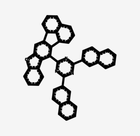 c1ccc2cc(-c3nc(-c4ccc5ccccc5c4)nc(-c4c5c(cc6oc7ccccc7c46)-c4cccc6cccc-5c46)n3)ccc2c1